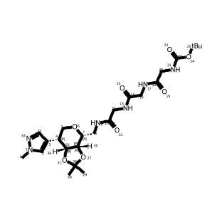 Cn1cc([C@@H]2CO[C@H](CNC(=O)CNC(=O)CNC(=O)CNC(=O)OC(C)(C)C)[C@@H]3OC(C)(C)O[C@@H]32)cn1